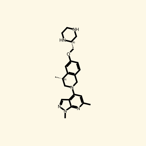 Cc1cc(N2Cc3ccc(OC[C@H]4CNCCN4)cc3[C@@H](C)C2)c2cnn(C)c2n1